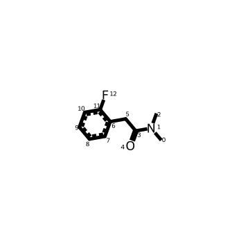 CN(C)C(=O)Cc1ccccc1F